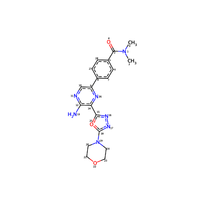 CN(C)C(=O)c1ccc(-c2cnc(N)c(-c3nnc(N4CCOCC4)o3)n2)cc1